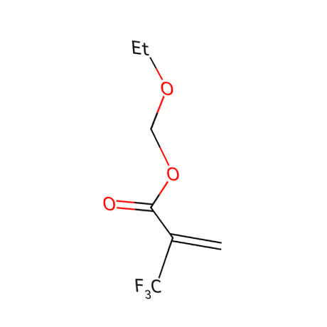 C=C(C(=O)OCOCC)C(F)(F)F